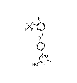 CCO[C@@H](CC(=O)O)c1ccc(OCc2ccc(F)c(OC(F)(F)F)c2)cc1